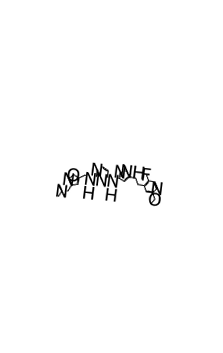 COc1cc(CCc2cc(Nc3ccnc(NCc4cc(CN(C)C)no4)n3)n[nH]2)c(F)cn1